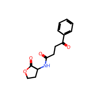 O=C(CCC(=O)c1ccccc1)NC1CCOC1=O